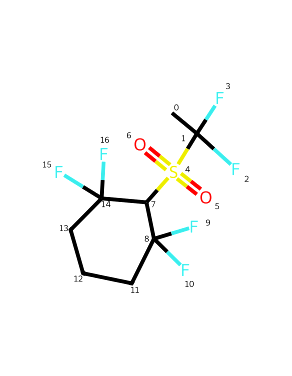 CC(F)(F)S(=O)(=O)C1C(F)(F)CCCC1(F)F